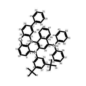 CC(C)(C)c1cc(N2c3cccc4c3B(c3cc(-c5ccccc5)ccc3O4)c3c2cc(N(c2ccccc2)c2ccccc2)c2ccccc32)cc(C(C)(C)C)c1